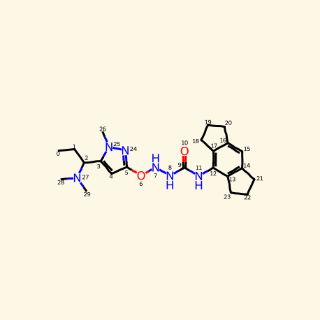 CCC(c1cc(ONNC(=O)Nc2c3c(cc4c2CCC4)CCC3)nn1C)N(C)C